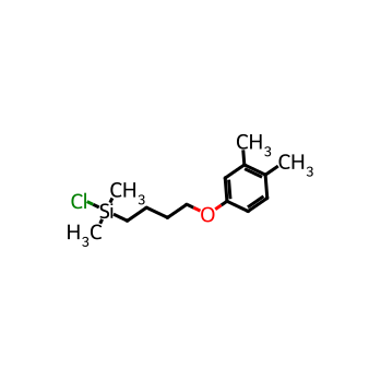 Cc1ccc(OCCCC[Si](C)(C)Cl)cc1C